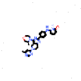 Cc1cc(N2CCc3nc(-c4ccc(Nc5cccc(=O)[nH]5)cc4)nc(N4CCOC[C@@H]4C)c3C2)ncn1